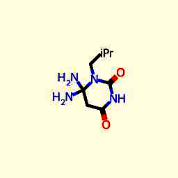 CC(C)CN1C(=O)NC(=O)CC1(N)N